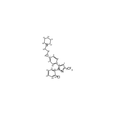 FC(F)(F)c1cc(-c2ccc(OCCN3CCCCC3)cc2)n(-c2ccccc2Cl)n1